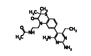 CCc1nc(N)nc(N)c1-c1ccc2c(c1)N(CCNC(C)=O)C(=O)C(C)(C)S2